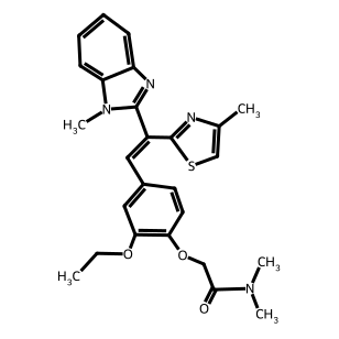 CCOc1cc(/C=C(\c2nc(C)cs2)c2nc3ccccc3n2C)ccc1OCC(=O)N(C)C